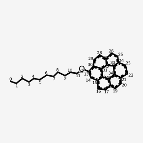 CCCCCCCCCCCCOc1cc2ccc3ccc4ccc5ccc6ccc1c1c6c5c4c3c21